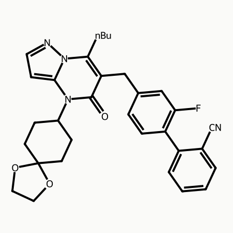 CCCCc1c(Cc2ccc(-c3ccccc3C#N)c(F)c2)c(=O)n(C2CCC3(CC2)OCCO3)c2ccnn12